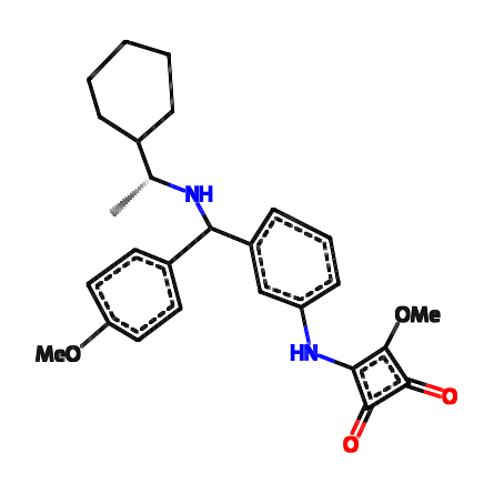 COc1ccc(C(N[C@H](C)C2CCCCC2)c2cccc(Nc3c(OC)c(=O)c3=O)c2)cc1